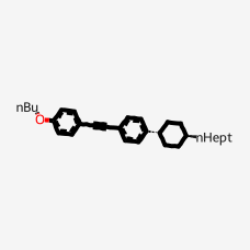 CCCCCCC[C@H]1CC[C@H](c2ccc(C#Cc3ccc(OCCCC)cc3)cc2)CC1